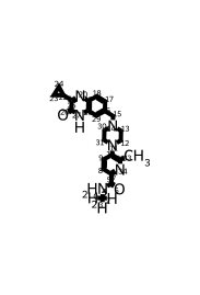 [2H]C([2H])([2H])NC(=O)c1ccc(N2CCN(Cc3ccc4nc(C5CC5)c(=O)[nH]c4c3)CC2)c(C)n1